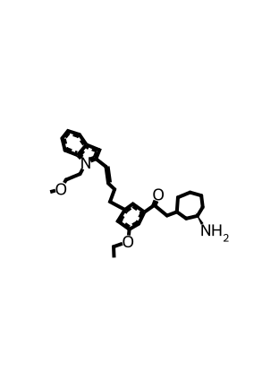 CCOc1cc(CC/C=C/c2cc3ccccc3n2CCOC)cc(C(=O)CC2CCCC[C@@H](N)C2)c1